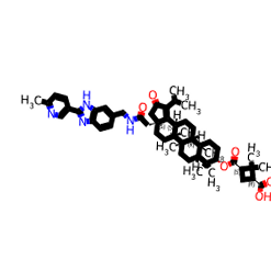 Cc1ccc(-c2nc3ccc(CNC(=O)C[C@@]45CC[C@]6(C)[C@H](CC[C@@H]7[C@@]8(C)CC[C@H](OC(=O)[C@H]9C[C@@H](C(=O)O)C9(C)C)C(C)(C)[C@@H]8CC[C@]76C)C4=C(C(C)C)C(=O)C5)cc3[nH]2)cn1